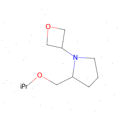 CC(C)OCC1CCCN1C1COC1